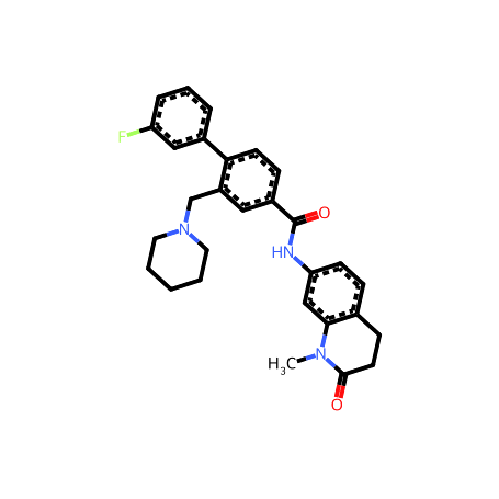 CN1C(=O)CCc2ccc(NC(=O)c3ccc(-c4cccc(F)c4)c(CN4CCCCC4)c3)cc21